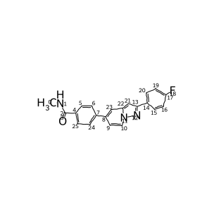 CNC(=O)c1ccc(-c2ccn3nc(-c4ccc(F)cc4)cc3c2)cc1